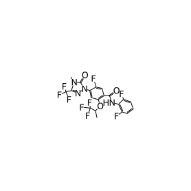 CC(Oc1cc(-n2nc(C(F)(F)F)n(C)c2=O)c(F)cc1C(=O)Nc1c(F)cccc1F)C(F)(F)F